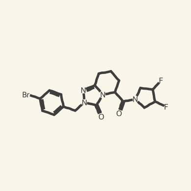 O=C(C1CCCc2nn(Cc3ccc(Br)cc3)c(=O)n21)N1CC(F)C(F)C1